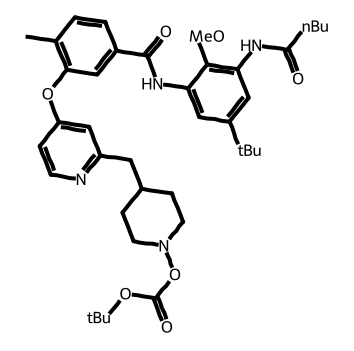 CCCCC(=O)Nc1cc(C(C)(C)C)cc(NC(=O)c2ccc(C)c(Oc3ccnc(CC4CCN(OC(=O)OC(C)(C)C)CC4)c3)c2)c1OC